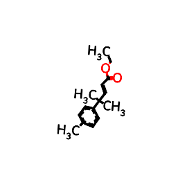 CCOC(=O)C=CC(C)(C)c1ccc(C)cc1